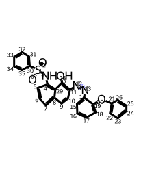 O=S(=O)(Nc1cccc2ccc(/N=N\c3ccccc3Oc3ccccc3)c(O)c12)c1ccccc1